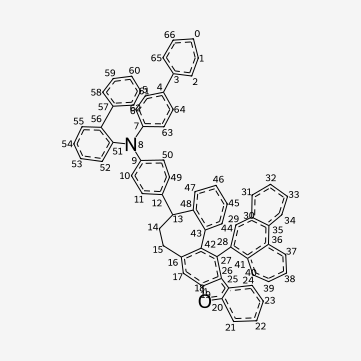 c1ccc(-c2ccc(N(c3ccc(C4CCc5cc6oc7ccccc7c6c(-c6cc7ccccc7c7ccccc67)c5-c5ccccc54)cc3)c3ccccc3-c3ccccc3)cc2)cc1